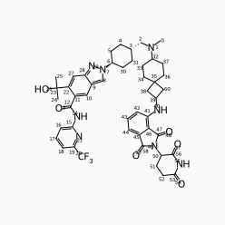 CN(C[C@H]1CC[C@H](n2cc3cc(C(=O)Nc4cccc(C(F)(F)F)n4)c(C(C)(C)O)cc3n2)CC1)C1CCC2(CC1)CC(Nc1cccc3c1C(=O)N(C1CCC(=O)NC1=O)C3=O)C2